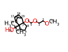 COCCOCOC12CCCC1(C(C)(C)O)C1CCC2C1